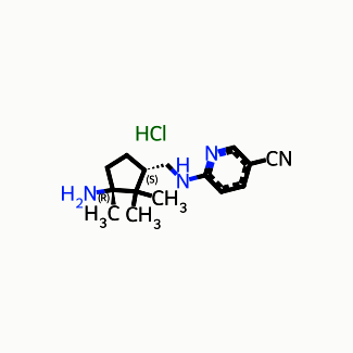 CC1(C)[C@@H](CNc2ccc(C#N)cn2)CC[C@@]1(C)N.Cl